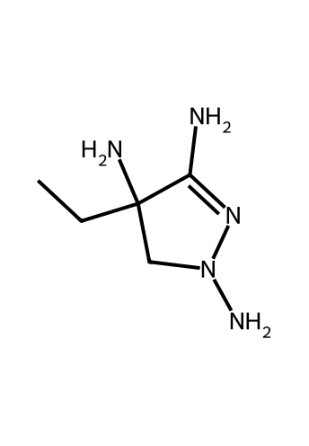 CCC1(N)CN(N)N=C1N